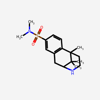 CN(C)S(=O)(=O)c1ccc2c(c1)CC1NCCC2(C)C1(C)C